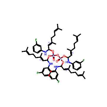 CC(C)=CCC/C(C)=C/C(Nc1cccc(F)c1)OP(=O)(OC(/C=C(\C)CCC=C(C)C)Nc1cccc(F)c1)OP(=O)(OC(/C=C(\C)CCC=C(C)C)Nc1cccc(F)c1)OC(/C=C(\C)CCC=C(C)C)Nc1cccc(F)c1